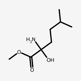 COC(=O)C(N)(O)CCC(C)C